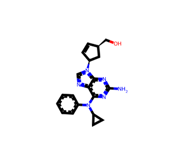 Nc1nc(N(c2ccccc2)C2CC2)c2ncn([C@H]3C=C[C@@H](CO)C3)c2n1